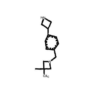 CC(=O)OC1(C)CN(Cc2ccc(C3CNC3)cc2)C1